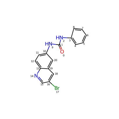 O=C(Nc1ccccc1)Nc1ccc2ncc(Br)cc2c1